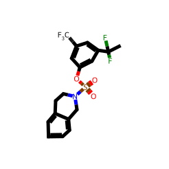 CC(F)(F)c1cc(OS(=O)(=O)N2CCc3ccccc3C2)cc(C(F)(F)F)c1